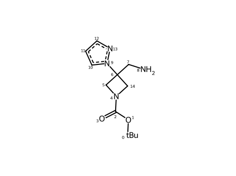 CC(C)(C)OC(=O)N1CC(CN)(n2cccn2)C1